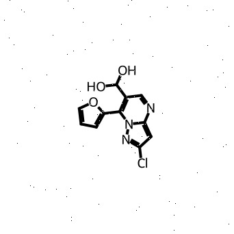 OC(O)c1cnc2cc(Cl)nn2c1-c1ccco1